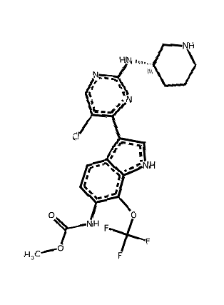 COC(=O)Nc1ccc2c(-c3nc(N[C@H]4CCCNC4)ncc3Cl)c[nH]c2c1OC(F)(F)F